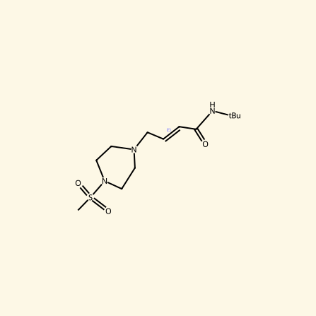 CC(C)(C)NC(=O)/C=C/CN1CCN(S(C)(=O)=O)CC1